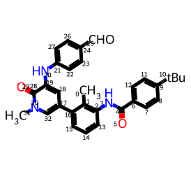 Cc1c(NC(=O)c2ccc(C(C)(C)C)cc2)cccc1-c1cc(Nc2ccc(C=O)cc2)c(=O)n(C)c1